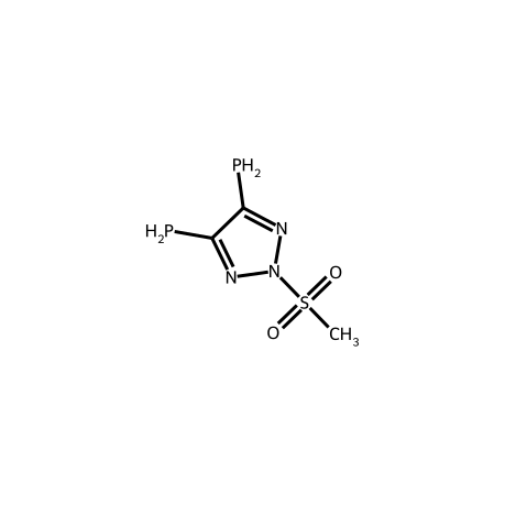 CS(=O)(=O)n1nc(P)c(P)n1